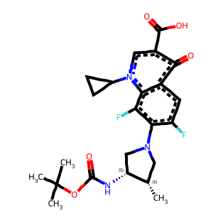 C[C@H]1CN(c2c(F)cc3c(=O)c(C(=O)O)cn(C4CC4)c3c2F)C[C@H]1NC(=O)OC(C)(C)C